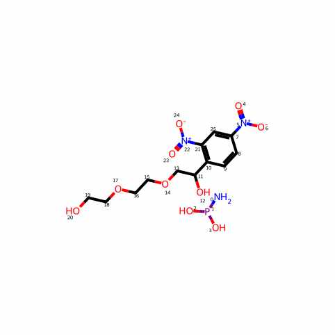 NP(O)O.O=[N+]([O-])c1ccc(C(O)COCCOCCO)c([N+](=O)[O-])c1